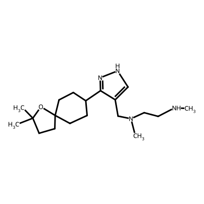 CNCCN(C)Cc1c[nH]nc1C1CCC2(CC1)CCC(C)(C)O2